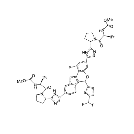 COC(=O)N[C@H](C(=O)N1CCC[C@H]1c1ncc(-c2cc(F)c3c(c2)OC(c2ccc(C(F)F)s2)n2c-3cc3cc(-c4cnc([C@@H]5CCCN5C(=O)[C@@H](NC(=O)OC)C(C)C)[nH]4)ccc32)[nH]1)C(C)C